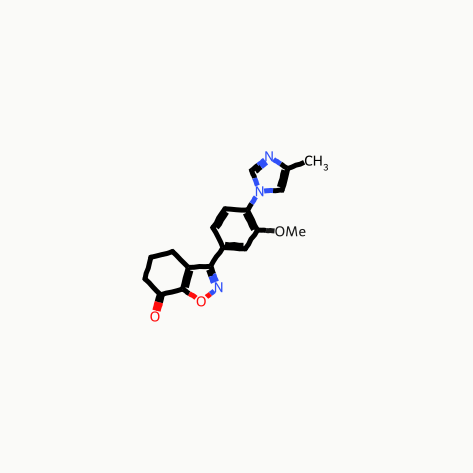 COc1cc(-c2noc3c2CCCC3=O)ccc1-n1cnc(C)c1